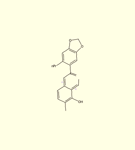 C=C(/C=c1/ccc(C)c(O)/c1=C/C)c1cc2c(cc1CCC)OCO2